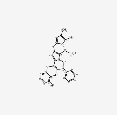 Cc1cc(Cc2nc3c(Cc4cccc(F)c4F)nc(-c4ccccc4)cn3c2CC(=O)O)oc1C(C)C